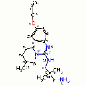 CC(C)CCOc1ccc(/N=C(/NCC(C)(C)CN)N2CCCC(C)C2)cc1